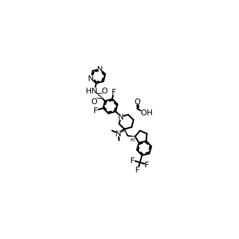 CN(C)[C@@]1(C[C@H]2CCc3ccc(C(F)(F)F)cc32)CCCN(c2cc(F)c(S(=O)(=O)Nc3ccncn3)c(F)c2)C1.O=CO